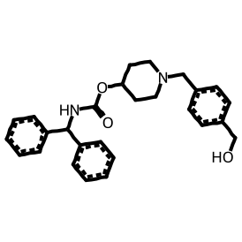 O=C(NC(c1ccccc1)c1ccccc1)OC1CCN(Cc2ccc(CO)cc2)CC1